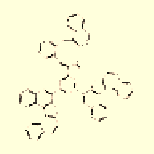 C=C1Oc2ccc3ccccc3c2Cc2ccccc2/C=C\1c1cc(-c2cc3ccccc3c3c2oc2ccc4ccccc4c23)nc(-c2cc3ccccc3c3c2oc2ccc4ccccc4c23)n1